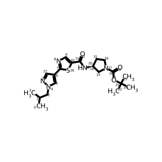 CC(C)Cn1cc(-c2ncc(C(=O)N[C@H]3CCN(C(=O)OC(C)(C)C)C3)s2)cn1